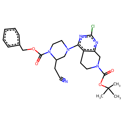 CC(C)(C)OC(=O)N1CCc2c(nc(Cl)nc2N2CCN(C(=O)OCc3ccccc3)C(CC#N)C2)C1